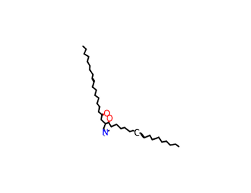 CCCCCCCCC=CCCCCCCCC(=O)CC(CN(C)C)C(=O)CCCCCCCC=CCCCCCCCC